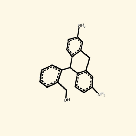 Nc1ccc2c(c1)Cc1cc(N)ccc1C2c1ccccc1CO